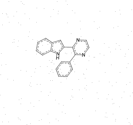 c1ccc(-c2nccnc2-c2cc3ccccc3[nH]2)cc1